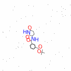 CC(C)(C)OC(=O)c1cccc(C(=O)NC2CCC(=O)NC2=O)c1